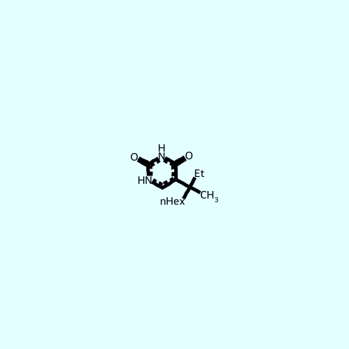 CCCCCCC(C)(CC)c1c[nH]c(=O)[nH]c1=O